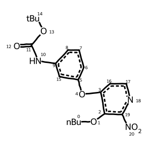 CCCCOc1c(Oc2cccc(NC(=O)OC(C)(C)C)c2)ccnc1[N+](=O)[O-]